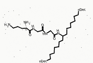 CCCCCCCCCCCCCCCCCC(CCCCCCCCCCCCCCCCC)NC(=O)CNC(=O)CNC(=O)[C@@H](N)CCCN